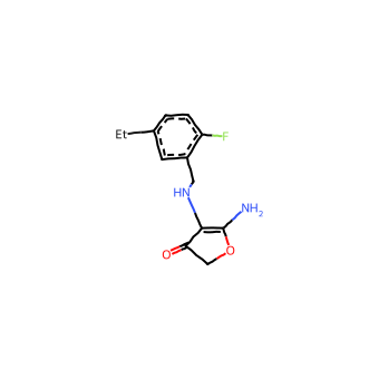 CCc1ccc(F)c(CNC2=C(N)OCC2=O)c1